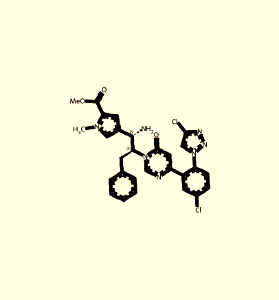 COC(=O)c1cc([C@H](N)[C@H](Cc2ccccc2)n2cnc(-c3cc(Cl)ccc3-n3cc(Cl)nn3)cc2=O)cn1C